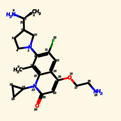 Cc1c(N2CCC([C@H](C)N)C2)c(F)cc2c(OCCN)cc(=O)n(C3CC3)c12